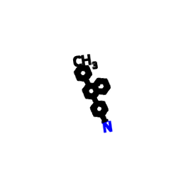 Cc1ccc(-c2ccc(-c3ccc(C#N)cc3)c3ccccc23)cc1